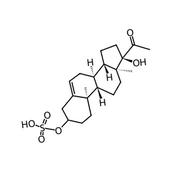 CC(=O)[C@@]1(O)CC[C@H]2[C@@H]3CC=C4CC(OS(=O)(=O)O)CC[C@]4(C)[C@H]3CC[C@@]21C